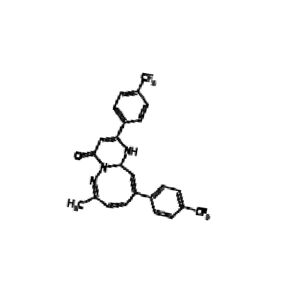 CC1=NN2C(=O)C=C(c3ccc(C(F)(F)F)cc3)NC2C=C(c2ccc(C(F)(F)F)cc2)C=C1